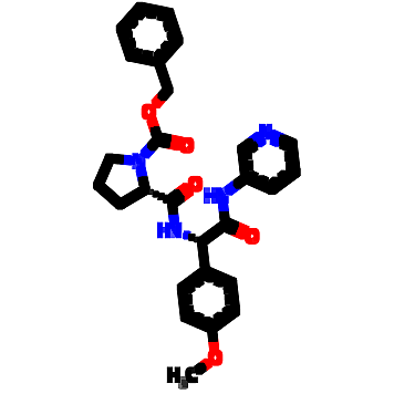 COc1ccc([C@H](NC(=O)[C@@H]2CCCN2C(=O)OCc2ccccc2)C(=O)Nc2cccnc2)cc1